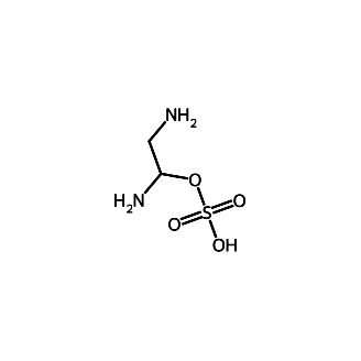 NCC(N)OS(=O)(=O)O